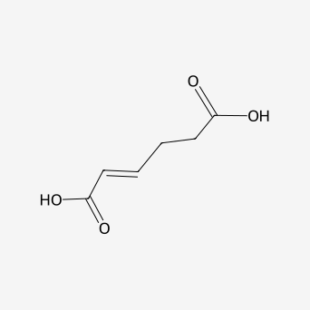 O=C(O)/C=C/CCC(=O)O